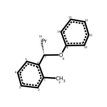 Cc1ccccc1[C@@H](Oc1ccccc1)C(C)C